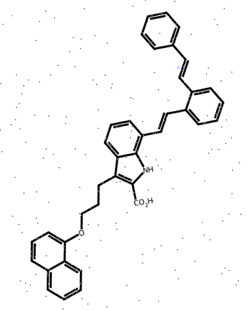 O=C(O)c1[nH]c2c(C=Cc3ccccc3/C=C/c3ccccc3)cccc2c1CCCOc1cccc2ccccc12